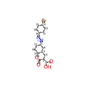 O=C(O)c1cc2cc(/N=N/c3ccc(Br)cc3)ccc2oc1=O